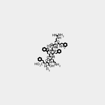 C[C@@H](O)[C@H](NC(=O)[C@H](CCCN)NC(=O)[C@@H](Cc1c[nH]c2ccccc12)NC(=O)[C@H](Cc1ccccc1)NC(=O)[C@H](CS)NC(=O)[C@H](CCCNC(=N)N)NC(=O)[C@H](N)Cc1ccccc1)C(=O)N[C@@H](Cc1ccccc1)C(=O)O